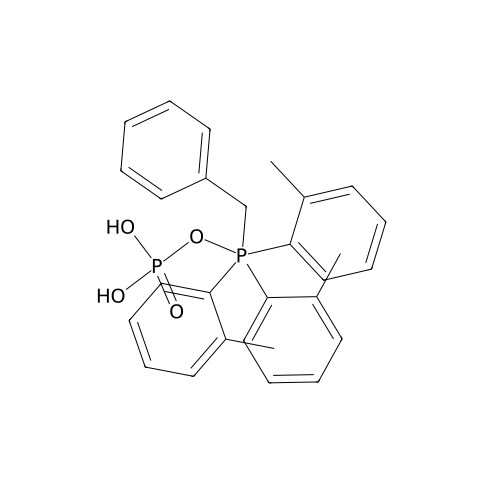 Cc1ccccc1P(Cc1ccccc1)(OP(=O)(O)O)(c1ccccc1C)c1ccccc1C